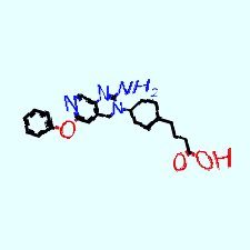 NC1=Nc2cnc(Oc3ccccc3)cc2CN1C1CCC(CCCC(=O)O)CC1